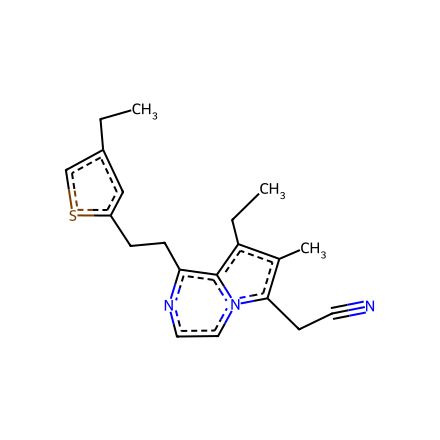 CCc1csc(CCc2nccn3c(CC#N)c(C)c(CC)c23)c1